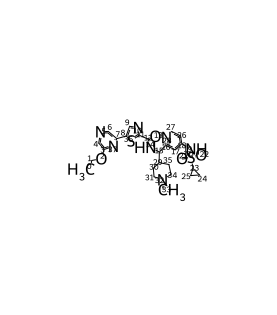 CCOc1cncc(-c2cnc(C(=O)NC(c3cc(NS(=O)(=O)C4CC4)ccn3)C3CCN(C)CC3)s2)n1